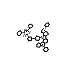 c1ccc(-c2nc(-c3ccccc3)nc(-c3cccc(-c4ccc(-n5c6c(ccc7c6ccn7-c6ccccc6)c6ccc7c(c8ccccc8n7-c7ccccc7)c65)cc4)c3)n2)cc1